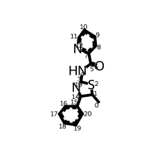 CC1SC(NC(=O)c2ccccn2)=NC1c1ccccc1